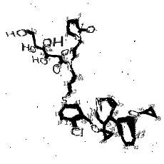 O=C1CCCN1CCCN(CCCSc1ccc(Cl)c(COC2(c3cnccc3-c3ccccc3OC3CC3)CC2)c1)C(=O)C(O)C(O)C(O)C(O)CO